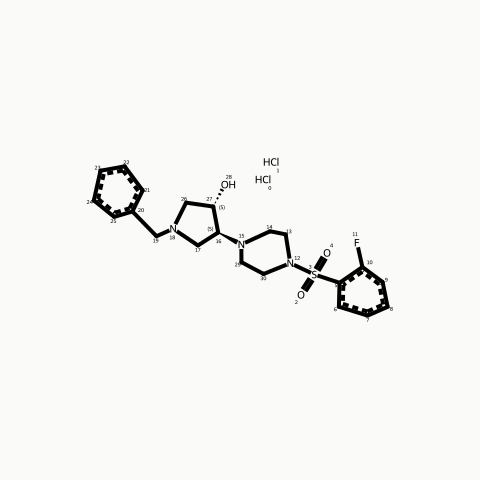 Cl.Cl.O=S(=O)(c1ccccc1F)N1CCN([C@H]2CN(Cc3ccccc3)C[C@@H]2O)CC1